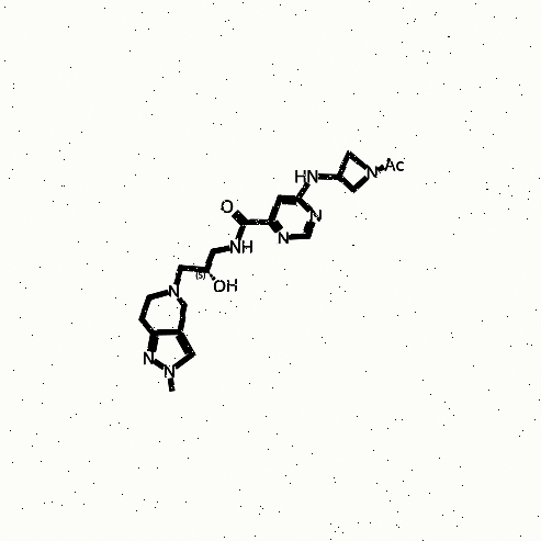 CC(=O)N1CC(Nc2cc(C(=O)NC[C@H](O)CN3CCc4nn(C)cc4C3)ncn2)C1